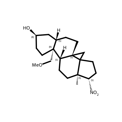 COC[C@]12CC[C@@H](O)C[C@@H]1CC[C@@]13CC14CC[C@H]([N+](=O)[O-])[C@@]4(C)CC[C@H]23